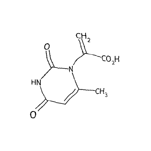 C=C(C(=O)O)n1c(C)cc(=O)[nH]c1=O